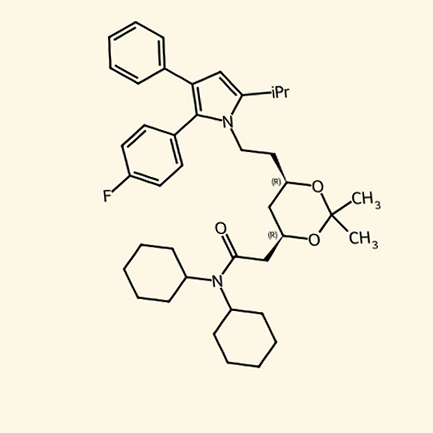 CC(C)c1cc(-c2ccccc2)c(-c2ccc(F)cc2)n1CC[C@@H]1C[C@H](CC(=O)N(C2CCCCC2)C2CCCCC2)OC(C)(C)O1